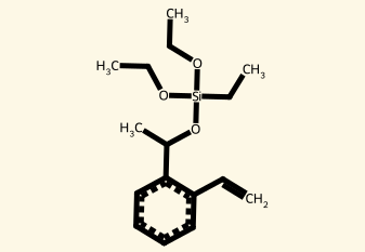 C=Cc1ccccc1C(C)O[Si](CC)(OCC)OCC